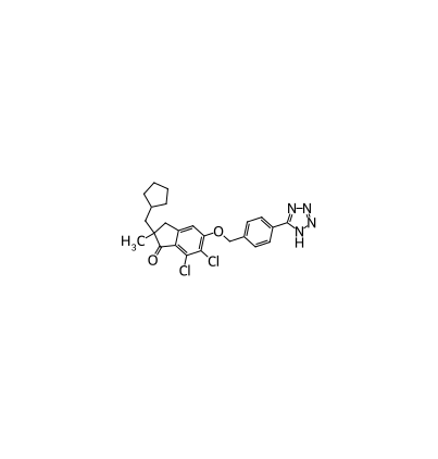 CC1(CC2CCCC2)Cc2cc(OCc3ccc(-c4nnn[nH]4)cc3)c(Cl)c(Cl)c2C1=O